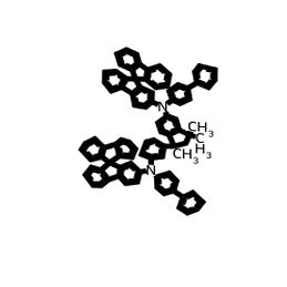 CC1(C)CC(C)(c2cccc(N(c3ccc(-c4ccccc4)cc3)c3ccc4c(c3)C3(c5ccccc5-c5ccccc53)c3ccccc3-4)c2)c2ccc(N(c3ccc(-c4ccccc4)cc3)c3ccc4c(c3)C3(c5ccccc5-c5ccccc53)c3ccccc3-4)cc21